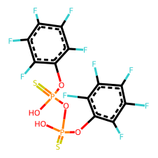 OP(=S)(Oc1c(F)c(F)c(F)c(F)c1F)OP(O)(=S)Oc1c(F)c(F)c(F)c(F)c1F